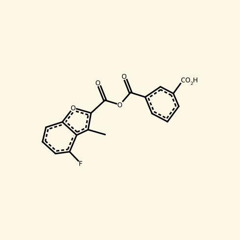 Cc1c(C(=O)OC(=O)c2cccc(C(=O)O)c2)oc2cccc(F)c12